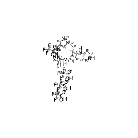 Clc1cnc2nc1Nc1ccc(NC3CCNCC3)c(c1)CCc1cncc(c1)N2.O=C(O)C(F)(F)F.O=C(O)C(F)(F)F.O=C(O)C(F)(F)F.O=C(O)C(F)(F)F